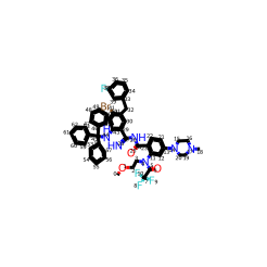 COCCN(C(=O)C(F)(F)F)c1cc(N2CCN(C)CC2)ccc1C(=O)NC(=N)c1cc(Cc2cccc(F)c2)c(Br)cc1NC(c1ccccc1)(c1ccccc1)c1ccccc1